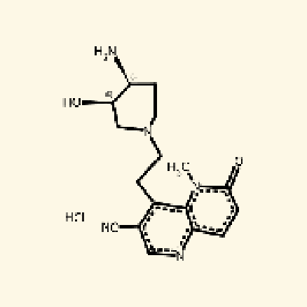 Cl.Cn1c(=O)ccc2ncc(C#N)c(CCN3CC[C@H](N)[C@H](O)C3)c21